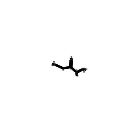 CC[CH]NC(=O)CC(C)=O